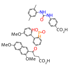 COc1ccc2cc(C(=O)CCC(=O)O)c(OC)cc2c1.COc1cccc(-c2ccccc2[PH](=O)O)c1.Cc1ccc(C)c(NC(=O)Nc2ccc(C(=O)O)cc2)c1